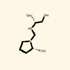 O=C[C@H](CO)NCN1CCC[C@H]1C=O